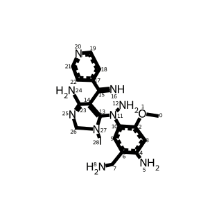 COc1cc(N)c(CN)cc1N(N)C1=C(C(=N)c2ccncc2)C(N)=NCN1I